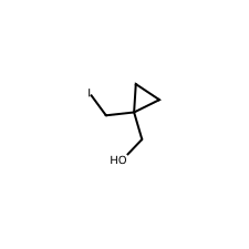 OCC1(CI)CC1